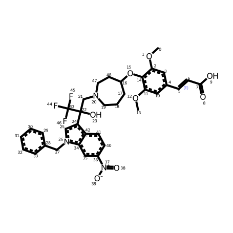 COc1cc(/C=C/C(=O)O)cc(OC)c1OC1CCCN(CC(O)(c2cn(Cc3ccccc3)c3cc([N+](=O)[O-])ccc23)C(F)(F)F)CC1